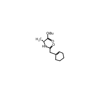 CC(C)COC(=O)[C@H](C)NC(=O)CC1=CCCCC1